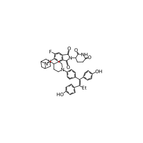 CCC(=C(c1ccc(O)cc1)c1ccc(N2CCC(CN3C4CC3CN(c3cc5c(cc3F)C(=O)N(C3CCC(=O)NC3=O)C5=O)C4)CC2)cc1)c1ccc(O)cc1